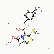 CC(=O)SC1=C(C(=O)OCc2ccc([N+](=O)[O-])cc2)N2C(=O)CC2SS1